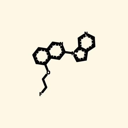 FCCOc1cccc2cnc(-n3ccc4ccncc43)cc12